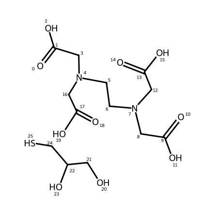 O=C(O)CN(CCN(CC(=O)O)CC(=O)O)CC(=O)O.OCC(O)CS